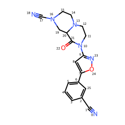 N#Cc1cccc(-c2cc(N3CCN4CCN(C#N)CC4C3=O)no2)c1